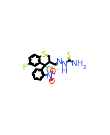 NC(=S)NN=CC1CSc2ccc(F)cc2C1(Cl)c1ccccc1[N+](=O)[O-]